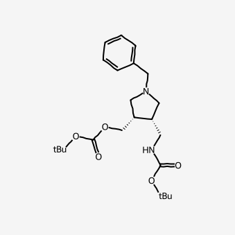 CC(C)(C)OC(=O)NC[C@H]1CN(Cc2ccccc2)C[C@H]1COC(=O)OC(C)(C)C